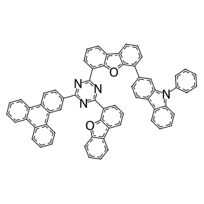 c1ccc(-n2c3ccccc3c3ccc(-c4cccc5c4oc4c(-c6nc(-c7ccc8c9ccccc9c9ccccc9c8c7)nc(-c7cccc8c7oc7ccccc78)n6)cccc45)cc32)cc1